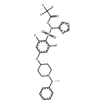 C[C@H](c1ccccc1)N1CCC(Oc2cc(F)c(S(=O)(=O)N(OC(=O)C(F)(F)F)c3cscn3)c(F)c2)CC1